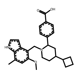 COc1cc(C)c2[nH]ccc2c1CN1CCC(C2CCC2)CC1c1ccc(C(=O)O)cc1